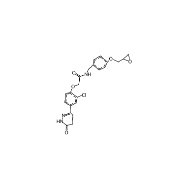 O=C(COc1ccc(C2=NNC(=O)CC2)cc1Cl)NCc1ccc(OCC2CO2)cc1